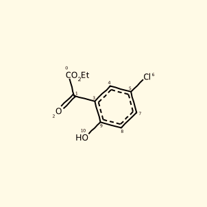 CCOC(=O)C(=O)c1cc(Cl)ccc1O